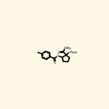 CCCCCC1(C(=O)OCC(C)C)CCCC1OC(=O)c1ccc(C)cc1